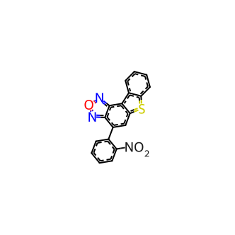 O=[N+]([O-])c1ccccc1-c1cc2sc3ccccc3c2c2nonc12